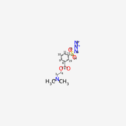 CN(C)CCOC(=O)c1cccc(S(=O)(=O)N=[N+]=[N-])c1